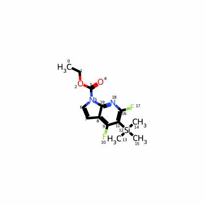 CCOC(=O)n1ccc2c(F)c([Si](C)(C)C)c(F)nc21